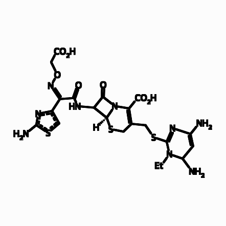 CCN1C(SCC2=C(C(=O)O)N3C(=O)C(NC(=O)/C(=N\OCC(=O)O)c4csc(N)n4)[C@@H]3SC2)=NC(N)=CC1N